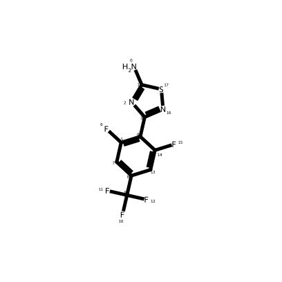 Nc1nc(-c2c(F)cc(C(F)(F)F)cc2F)ns1